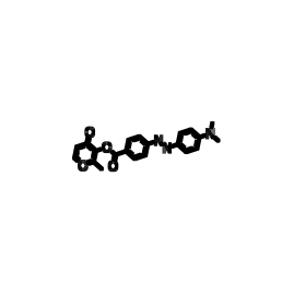 Cc1occc(=O)c1OC(=O)c1ccc(N=Nc2ccc(N(C)C)cc2)cc1